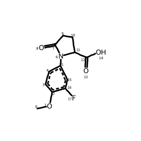 COc1ccc(N2C(=O)CCC2C(=O)O)cc1F